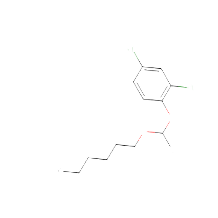 CCCCCCOC(C)Oc1ccc(Cl)cc1Cl